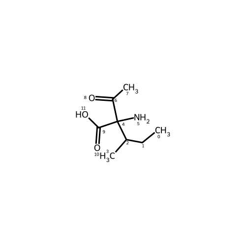 CCC(C)C(N)(C(C)=O)C(=O)O